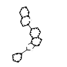 c1ccc(C2Nc3ccc4ccc(-c5ccc6ccccc6n5)cc4c3O2)cc1